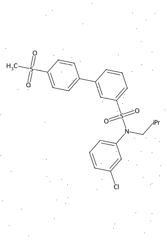 CC(C)CN(c1cccc(Cl)c1)S(=O)(=O)c1cccc(-c2ccc(S(C)(=O)=O)cc2)c1